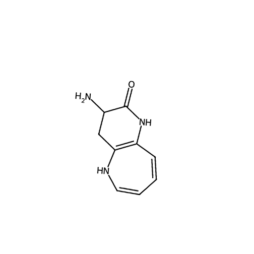 NC1CC2=C(C=CC=CN2)NC1=O